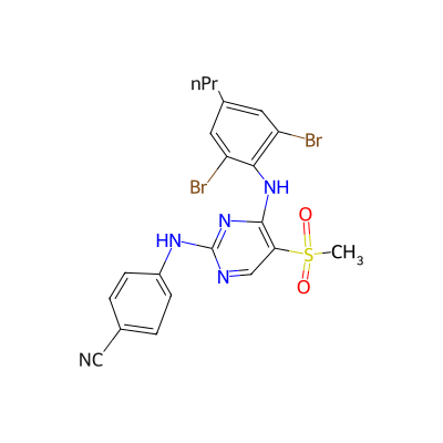 CCCc1cc(Br)c(Nc2nc(Nc3ccc(C#N)cc3)ncc2S(C)(=O)=O)c(Br)c1